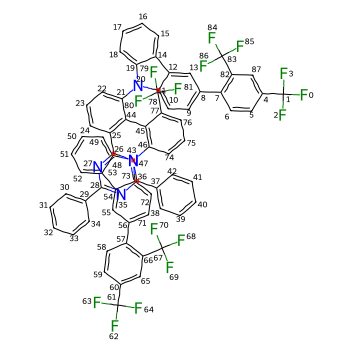 FC(F)(F)c1ccc(-c2ccc3c(c2)c2ccccc2n3-c2cccc(-c3nc(-c4ccccc4)nc(-c4ccccc4)n3)c2-c2c(-n3c4ccccc4c4cc(-c5ccc(C(F)(F)F)cc5C(F)(F)F)ccc43)cccc2C(F)(F)F)c(C(F)(F)F)c1